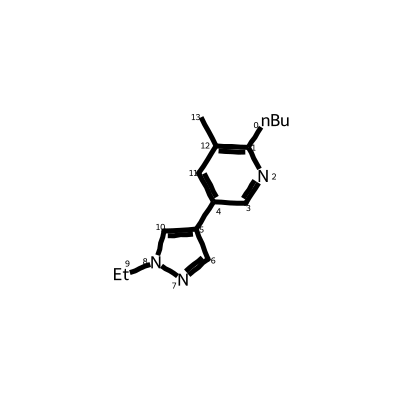 CCCCc1ncc(-c2cnn(CC)c2)cc1C